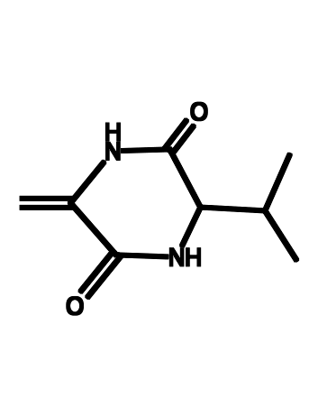 C=C1NC(=O)C(C(C)C)NC1=O